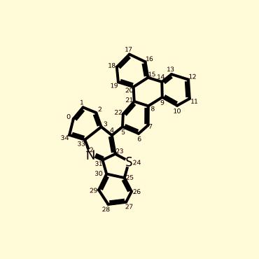 c1ccc2c(-c3ccc4c5ccccc5c5ccccc5c4c3)c3sc4ccccc4c3nc2c1